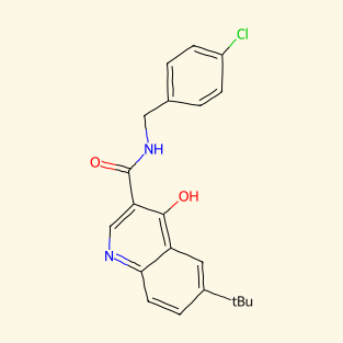 CC(C)(C)c1ccc2ncc(C(=O)NCc3ccc(Cl)cc3)c(O)c2c1